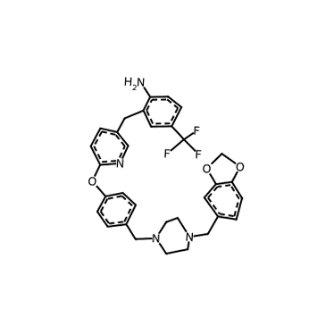 Nc1ccc(C(F)(F)F)cc1Cc1ccc(Oc2ccc(CN3CCN(Cc4ccc5c(c4)OCO5)CC3)cc2)nc1